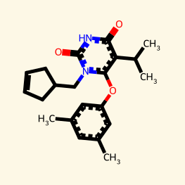 Cc1cc(C)cc(Oc2c(C(C)C)c(=O)[nH]c(=O)n2CC2CC=CC2)c1